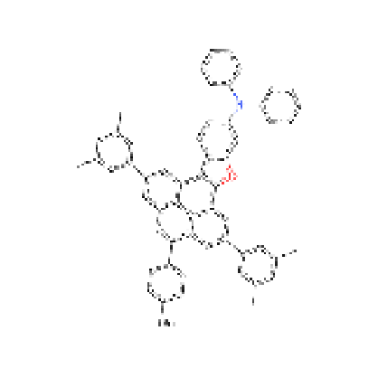 Cc1cc(C)cc(-c2cc3cc(-c4ccc(C(C)(C)C)cc4)c4cc(-c5cc(C)cc(C)c5)cc5c6oc7cc(N(c8ccccc8)c8ccccc8)ccc7c6c(c2)c3c45)c1